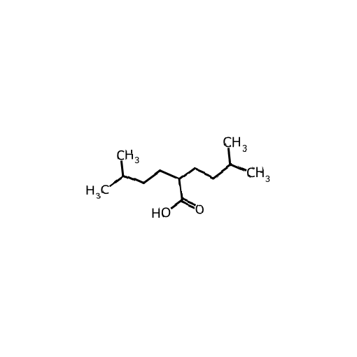 CC(C)CCC(CCC(C)C)C(=O)O